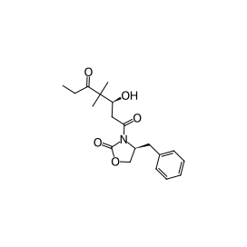 CCC(=O)C(C)(C)[C@@H](O)CC(=O)N1C(=O)OC[C@@H]1Cc1ccccc1